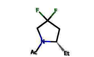 CC[C@H]1CC(F)(F)CN1C(C)=O